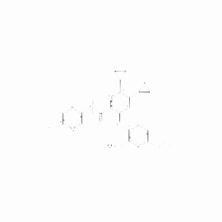 COc1cc(OC(F)(F)F)ccc1Oc1cc(C2CC2)c(C2CC2)nc1C(=O)Nc1ccc(C(C)=O)nc1